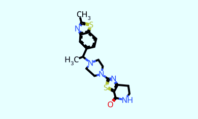 Cc1nc2cc(C(C)N3CCN(c4nc5c(s4)C(=O)NCC5)CC3)ccc2s1